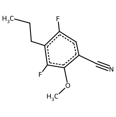 CCCc1c(F)cc(C#N)c(OC)c1F